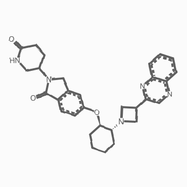 O=C1CCC(N2Cc3cc(O[C@@H]4CCCC[C@H]4N4CC(c5cnc6ccccc6n5)C4)ccc3C2=O)CN1